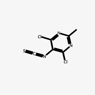 Cc1nc(Cl)c(N=C=S)c(Cl)n1